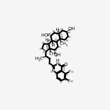 C[C@H](CCc1nc2ccc(F)c(F)c2c(=O)[nH]1)[C@H]1CC[C@H]2[C@H]3C(C[C@H](O)[C@]12C)[C@@]1(C)CC[C@@H](O)C[C@H]1C[C@H]3O